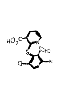 O=Cc1c(Br)ccc(Cl)c1Sc1ncccc1C(=O)O